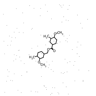 COC1CCC(C(=O)OCC2CCC(C)C(OC)C2)CC1C